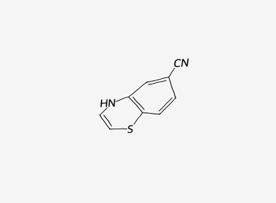 N#Cc1ccc2c(c1)NC=CS2